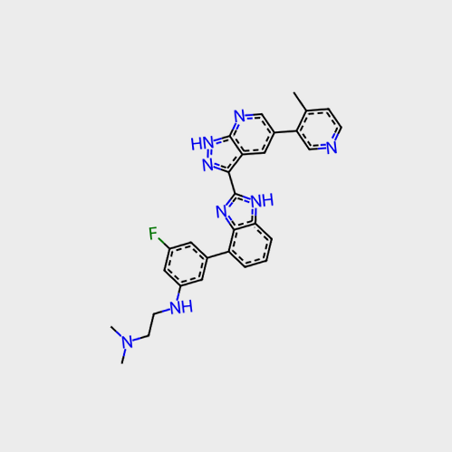 Cc1ccncc1-c1cnc2[nH]nc(-c3nc4c(-c5cc(F)cc(NCCN(C)C)c5)cccc4[nH]3)c2c1